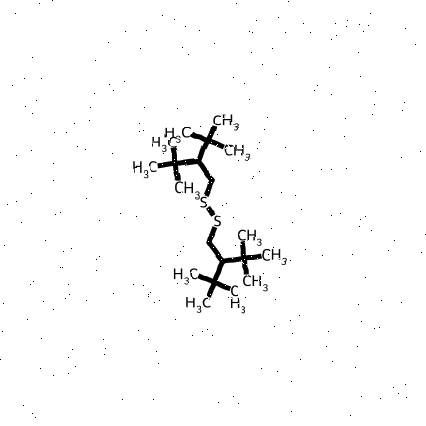 CC(C)(C)C(CSSCC(C(C)(C)C)C(C)(C)C)C(C)(C)C